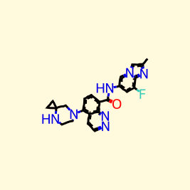 Cc1cn2cc(NC(=O)c3ccc(N4CCNC5(CC5)C4)c4ccnnc34)cc(F)c2n1